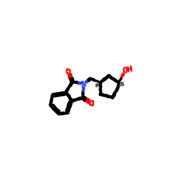 O=C1c2ccccc2C(=O)N1C[C@@H]1CCC[C@H](O)C1